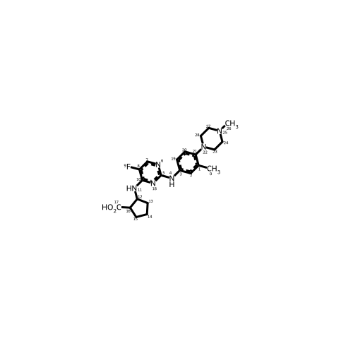 Cc1cc(Nc2ncc(F)c(NC3CCCC3C(=O)O)n2)ccc1N1CCN(C)CC1